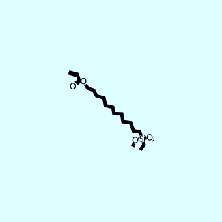 C=CC(=O)OCCCCCCCCCCCC[Si](CC)(OC)OC